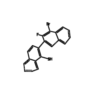 Fc1c(-c2ccc3ccccc3c2S)cc2ccccc2c1Br